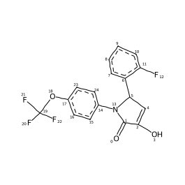 O=C1C(O)=CC(c2ccccc2F)N1c1ccc(OC(F)(F)F)cc1